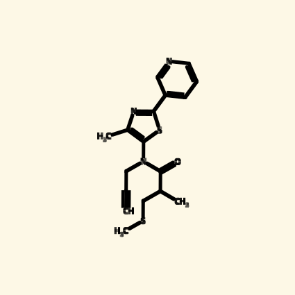 C#CCN(C(=O)C(C)CSC)c1sc(-c2cccnc2)nc1C